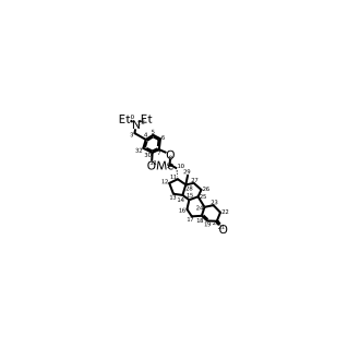 CCN(CC)Cc1ccc(OCC[C@H]2CCC3C4CCC5=CC(=O)CCC5C4CCC32C)c(OC)c1